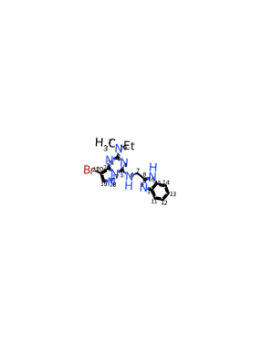 CCN(C)c1nc(NCc2nc3ccccc3[nH]2)n2ncc(Br)c2n1